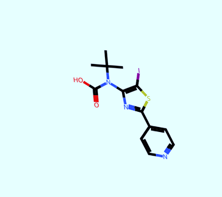 CC(C)(C)N(C(=O)O)c1nc(-c2ccncc2)sc1I